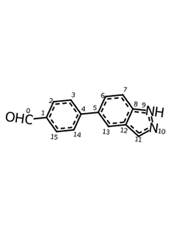 O=Cc1ccc(-c2ccc3[nH]ncc3c2)cc1